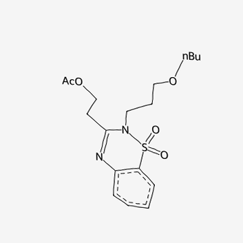 CCCCOCCCN1C(CCOC(C)=O)=Nc2ccccc2S1(=O)=O